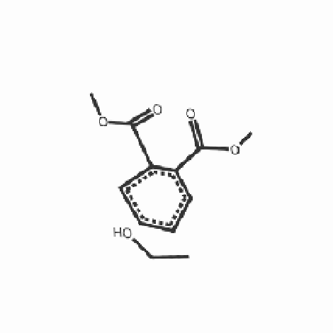 CCO.COC(=O)c1ccccc1C(=O)OC